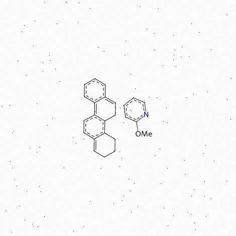 C1=c2ccc3c(c2CCC1)CC=c1ccccc1=3.COc1ccccn1